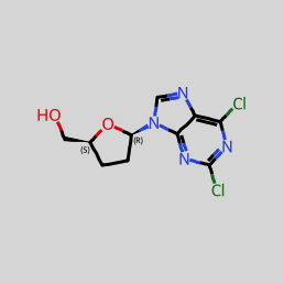 OC[C@@H]1CC[C@H](n2cnc3c(Cl)nc(Cl)nc32)O1